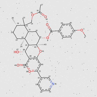 COc1ccc(C(=O)O[C@H]2CC3C(C)(COC(C)=O)[C@@H](C)CC[C@]3(C)C3[C@@H](O)c4c(cc(-c5cccnc5)oc4=O)O[C@@]32C)cc1